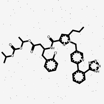 CCCc1cc(C(=O)NC(CC(=O)OC(C)OC(=O)OC(C)C)Cc2ccccc2Cl)nn1Cc1ccc(-c2ccccc2-c2nnn[nH]2)nc1